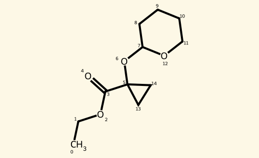 CCOC(=O)C1(OC2CCCCO2)CC1